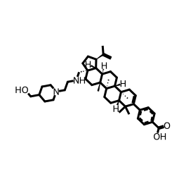 C=C(C)[C@@H]1CC[C@]2(CNCCN3CCC(CO)CC3)CC[C@]3(C)[C@H](CC[C@@H]4[C@@]5(C)CC=C(c6ccc(C(=O)O)cc6)C(C)(C)[C@@H]5CC[C@]43C)[C@@H]12